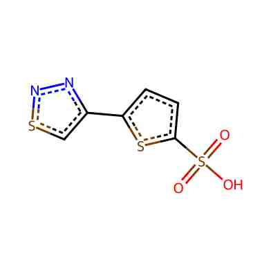 O=S(=O)(O)c1ccc(-c2csnn2)s1